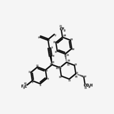 C=C(C)C#C[C@H](c1ccc(C(F)(F)F)cc1)N1CC[C@@H](CC(=O)O)C[C@H]1c1ccc(C(F)(F)F)cc1